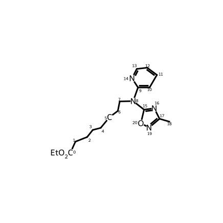 CCOC(=O)CCCCCCCN(c1ccccn1)c1nc(C)no1